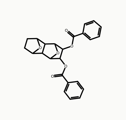 O=C(OC1C(OC(=O)c2ccccc2)C2OC1C1C3CCC(O3)C21)c1ccccc1